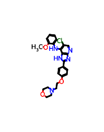 COc1ccccc1Nc1c(Cl)cnc2nc(-c3ccc(OCCN4CCOCC4)cc3)[nH]c12